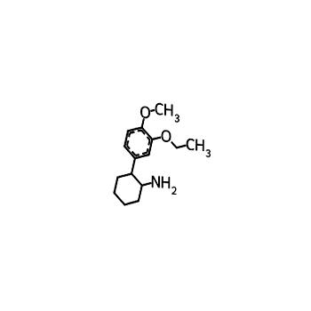 CCOc1cc(C2CCCCC2N)ccc1OC